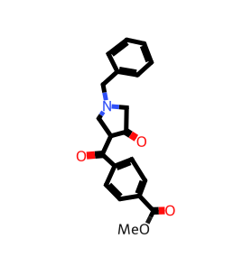 COC(=O)c1ccc(C(=O)C2CN(Cc3ccccc3)CC2=O)cc1